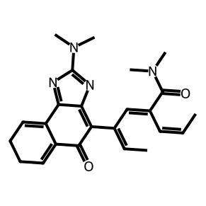 C\C=C/C(=C\C(=C/C)C1=C2N=C(N(C)C)N=C2C2=CCCC=C2C1=O)C(=O)N(C)C